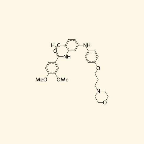 COc1ccc(C(=O)Nc2cc(Nc3ccc(OCCCN4CCOCC4)cc3)ccc2C)cc1OC